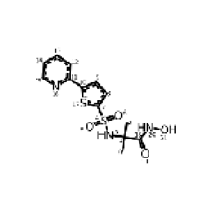 CC(C)(NS(=O)(=O)c1ccc(-c2ccccn2)s1)C(=O)NO